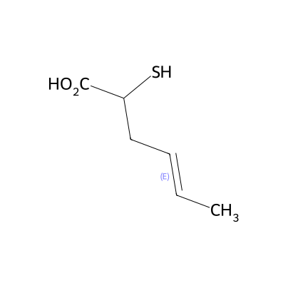 C/C=C/CC(S)C(=O)O